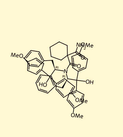 COc1ccc(C(O)(c2ccc(OC)cc2)[C@@H](Cc2ccccc2)N(C(=O)C2(C(N)=O)CCCCC2)[C@H](Cc2ccccc2)C(O)(c2ccc(OC)cc2)c2ccc(OC)cc2)cc1